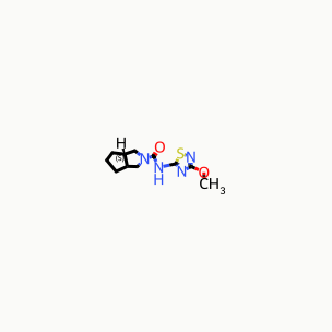 COc1nsc(NC(=O)N2CC3CCC[C@@H]3C2)n1